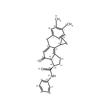 Cc1ccc(Cc2cc(=O)n3c(c2C2CC2)SC[C@H]3C(=O)Nc2ccccc2)cc1C